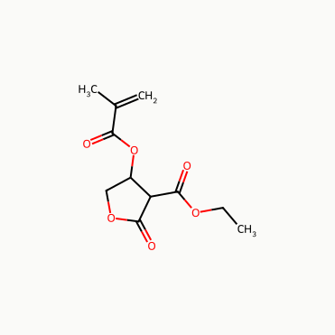 C=C(C)C(=O)OC1COC(=O)C1C(=O)OCC